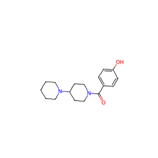 O=C(c1ccc(O)cc1)N1CCC(N2CCCCC2)CC1